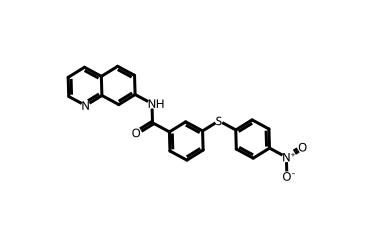 O=C(Nc1ccc2cccnc2c1)c1cccc(Sc2ccc([N+](=O)[O-])cc2)c1